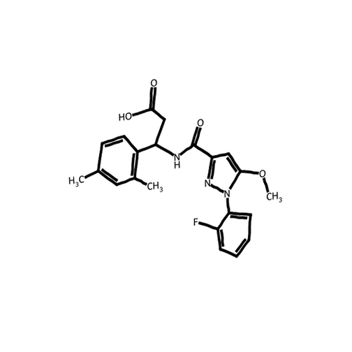 COc1cc(C(=O)NC(CC(=O)O)c2ccc(C)cc2C)nn1-c1ccccc1F